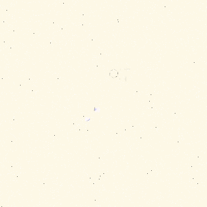 CCCCC/C=C/C/C=C/CCCCCCCc1cccc(O)c1O